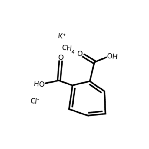 C.O=C(O)c1ccccc1C(=O)O.[Cl-].[K+]